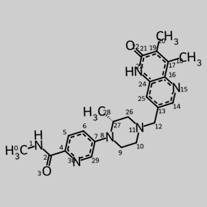 CNC(=O)c1ccc(N2CCN(Cc3cnc4c(C)c(C)c(=O)[nH]c4c3)C[C@H]2C)cn1